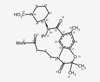 CNC(=O)CCCN1C(=O)C(C)(C)Oc2cc(C)c(C(=O)N(C(C)C)[C@@H]3CCCN(C(=O)O)C3)cc21